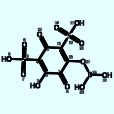 O=C1C(O)=C(S(=O)(=O)O)C(=O)C(S(=O)(=O)O)=C1OB(O)O